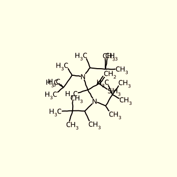 C=C([SiH3])C(C)(N(C(C)C(C)(C)C)C(C)C(C)(C)C)N(C(C)C(C)(C)C)C(C)C(C)(C)C